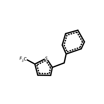 FC(F)(F)c1ccc(Cc2ccccc2)s1